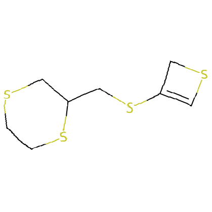 C1=C(SCC2CSCCS2)CS1